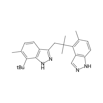 Cc1ccc2[nH]ncc2c1C(C)(C)Cc1n[nH]c2c(C(C)(C)C)c(C)ccc12